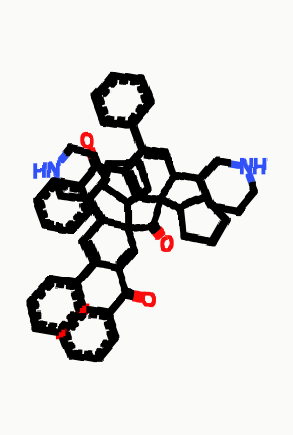 O=C(C1=CC(C(=O)C2(C3CCCC3)C=C(C(=O)c3ccccc3)C(c3ccccc3)=CC2C2CCCNC2)(C2CCCC2)C(C2CCCNC2)C=C1c1ccccc1)c1ccccc1